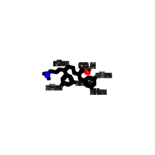 CCCCCCCCCCC(CCC(Cc1cc(CCCCCC)cc(CCCCCC)c1)C(=O)C(=O)O)C(CCCN(C)C)c1cc(CCCCCC)cc(CCCCCC)c1